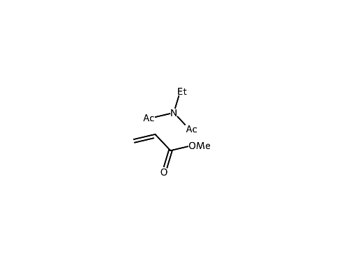 C=CC(=O)OC.CCN(C(C)=O)C(C)=O